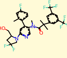 Cc1cc(F)ccc1-c1cc(N2CC(F)(F)CC2CO)ncc1N(C)C(=O)C(C)(C)c1cc(C(F)(F)F)cc(C(F)(F)F)c1